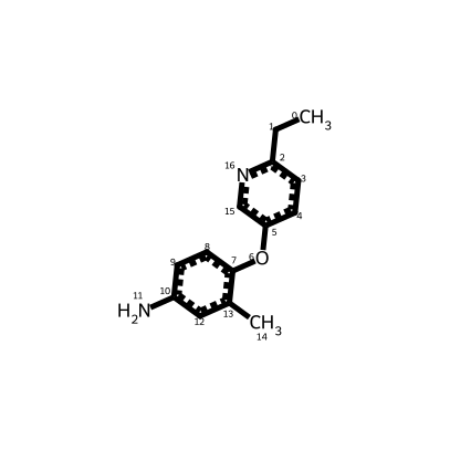 CCc1ccc(Oc2ccc(N)cc2C)cn1